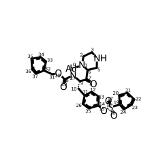 CC(=O)N1CCNCC1C(=O)[C@H](Cc1ccc(OS(=O)(=O)c2ccccc2)cc1)NC(=O)OCc1ccccc1